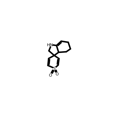 O=S1(=O)C=CC2(C=C1)CNC1=CCCCC12